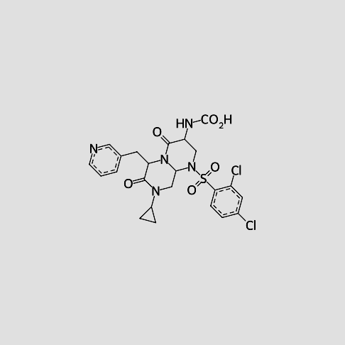 O=C(O)NC1CN(S(=O)(=O)c2ccc(Cl)cc2Cl)C2CN(C3CC3)C(=O)C(Cc3cccnc3)N2C1=O